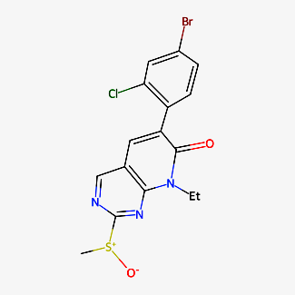 CCn1c(=O)c(-c2ccc(Br)cc2Cl)cc2cnc([S+](C)[O-])nc21